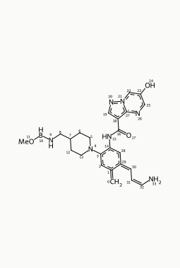 C=c1cc(N2CCC(CNBOC)CC2)c(NC(=O)c2cnn3cc(O)cnc23)c/c1=C/C=C\N